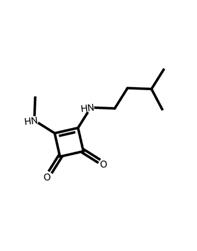 CNc1c(NCCC(C)C)c(=O)c1=O